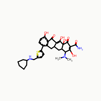 CN(C)C1C(O)=C(C(N)=O)C(=O)C2(O)C(O)=C3C(=O)c4c(O)ccc(-c5ccc(CNC6CCCCC6)s5)c4CC3CC12